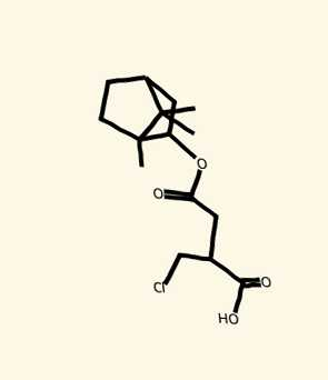 CC1(C)C2CCC1(C)C(OC(=O)CC(CCl)C(=O)O)C2